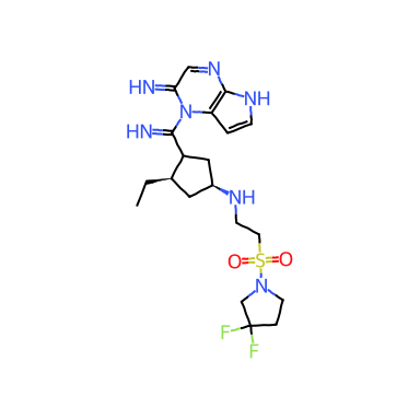 CC[C@@H]1C[C@H](NCCS(=O)(=O)N2CCC(F)(F)C2)CC1C(=N)n1c(=N)cnc2[nH]ccc21